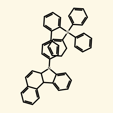 C1=CCCC([Si](c2ccccc2)(c2ccccc2)c2ccccc2-c2ccc(N3c4ccccc4C4c5ccccc5C=CC43)cc2)=C1